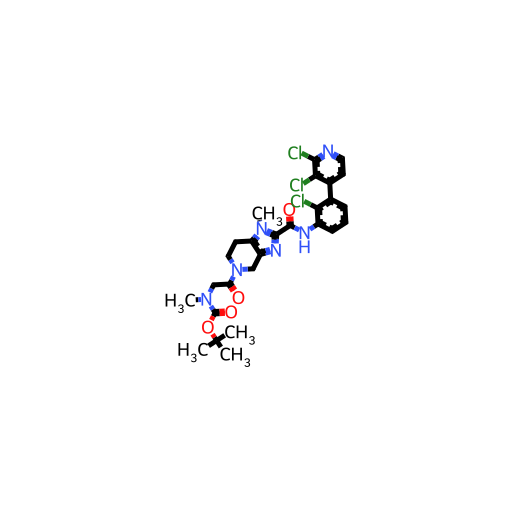 CN(CC(=O)N1CCc2c(nc(C(=O)Nc3cccc(-c4ccnc(Cl)c4Cl)c3Cl)n2C)C1)C(=O)OC(C)(C)C